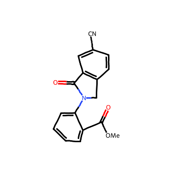 COC(=O)c1ccccc1N1Cc2ccc(C#N)cc2C1=O